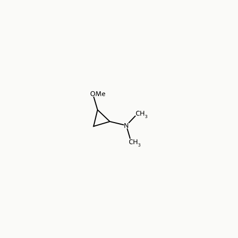 COC1CC1N(C)C